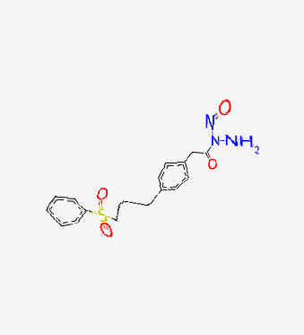 NN(N=O)C(=O)Cc1ccc(CCCS(=O)(=O)c2ccccc2)cc1